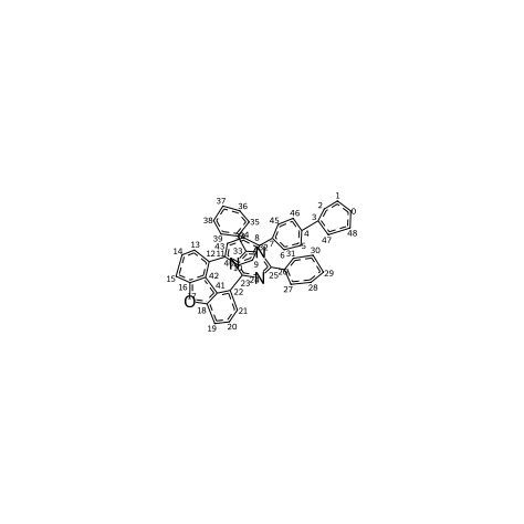 c1ccc(-c2ccc(-c3ccc(-c4cccc5oc6cccc(-c7nc(-c8ccccc8)nc(-c8ccccc8)n7)c6c45)cc3)cc2)cc1